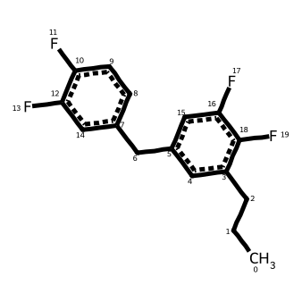 CCCc1cc(Cc2ccc(F)c(F)c2)cc(F)c1F